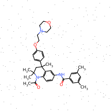 CC(=O)N1c2ccc(NC(=O)c3cc(C)cc(C)c3)cc2C(C)(c2ccc(OCCN3CCOCC3)cc2)CC1(C)C